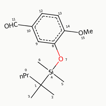 CCCC(C)(C)[Si](C)(C)Oc1cc(C=O)ccc1OC